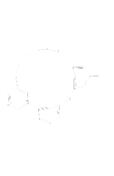 Cc1cc2cc(c1)OCCOCCOc1cccc(c1)-c1nc(ncc1C)N2